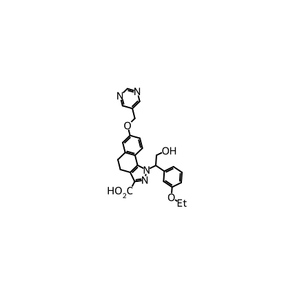 CCOc1cccc(C(CO)n2nc(C(=O)O)c3c2-c2ccc(OCc4cncnc4)cc2CC3)c1